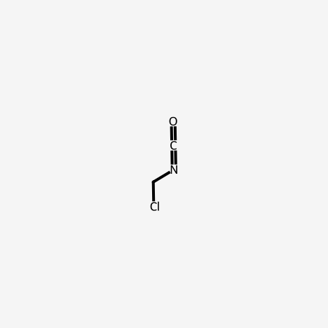 O=C=NCCl